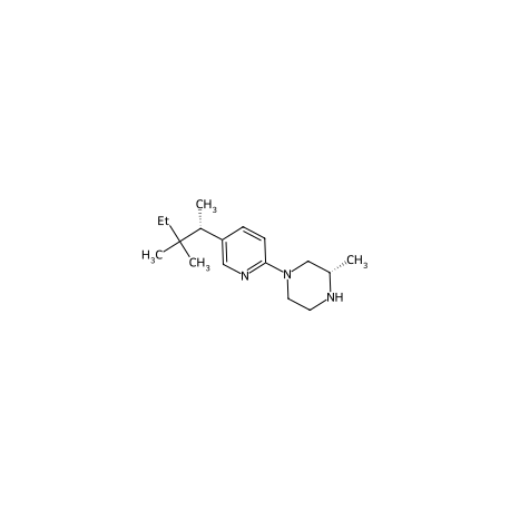 CCC(C)(C)[C@H](C)c1ccc(N2CCN[C@@H](C)C2)nc1